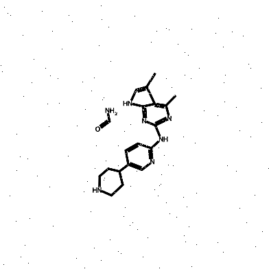 Cc1c[nH]c2nc(Nc3ccc(C4CCNCC4)cn3)nc(C)c12.NC=O